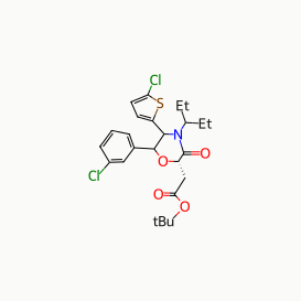 CCC(CC)N1C(=O)[C@H](CC(=O)OC(C)(C)C)OC(c2cccc(Cl)c2)C1c1ccc(Cl)s1